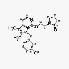 Cc1c(C)n(Cc2cccc(Cl)c2)c2c(OCCN3CCCC3=O)nccc12